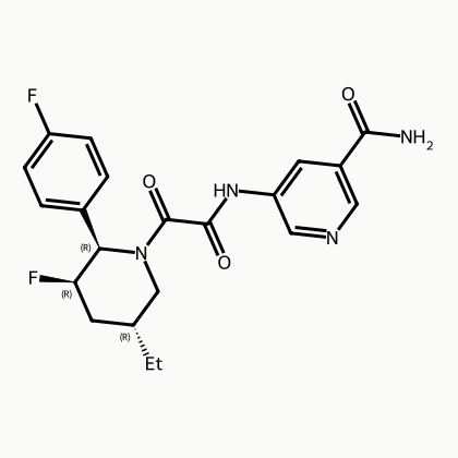 CC[C@@H]1C[C@@H](F)[C@@H](c2ccc(F)cc2)N(C(=O)C(=O)Nc2cncc(C(N)=O)c2)C1